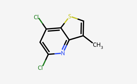 Cc1csc2c(Cl)cc(Cl)nc12